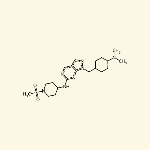 CN(C)C1CCC(Cn2ncc3cnc(NC4CCN(S(C)(=O)=O)CC4)nc32)CC1